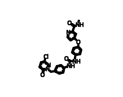 CNC(=O)c1cc(Oc2ccc(NC(=O)Nc3ccc(Cn4nc(Cl)ccc4=O)cc3)cc2)ccn1